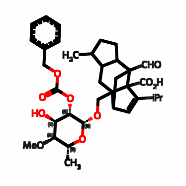 CO[C@H]1[C@@H](O)[C@H](OC(=O)OCc2ccccc2)[C@H](OCC23CC4C(C)CCC4C4(C=O)CC2C=C(C(C)C)C43C(=O)O)O[C@@H]1C